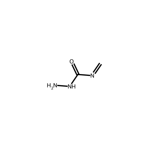 C=NC(=O)NN